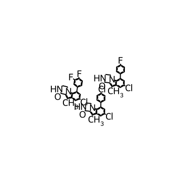 Cc1c2n(c3c(-c4ccc(Cl)cc4)cc(Cl)cc13)CCNC2=O.Cc1c2n(c3c(-c4ccc(F)c(F)c4)cc(Cl)cc13)CCNC2=O.Cc1c2n(c3c(-c4ccc(F)cc4)cc(Cl)cc13)CCNC2=O